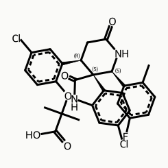 Cc1ccc(F)cc1[C@@H]1NC(=O)C[C@H](c2cc(Cl)ccc2OC(C)(C)C(=O)O)[C@@]12C(=O)Nc1cc(Cl)ccc12